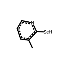 Cc1cccnc1[SeH]